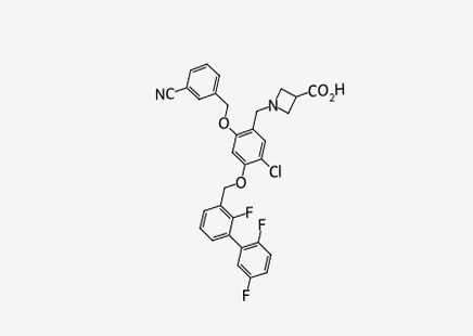 N#Cc1cccc(COc2cc(OCc3cccc(-c4cc(F)ccc4F)c3F)c(Cl)cc2CN2CC(C(=O)O)C2)c1